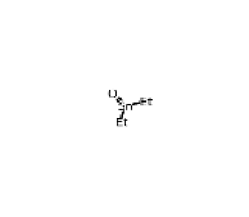 C[CH2][Sn](=[O])[CH2]C